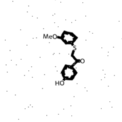 COc1cccc(SCC(=O)c2ccc(O)cc2)c1